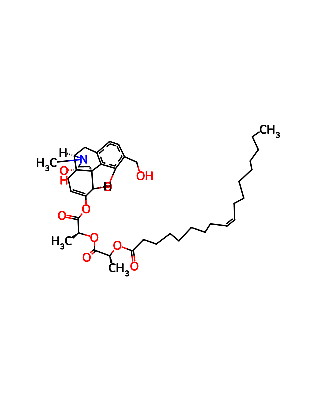 CCCCCCCC/C=C\CCCCCCCC(=O)O[C@@H](C)C(=O)O[C@@H](C)C(=O)OC1=CC[C@@]2(O)[C@H]3Cc4ccc(CO)c5c4[C@@]2(CCN3C)[C@H]1O5